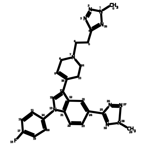 Cn1nnc(CCN2CC=C(c3cn(-c4ccc(F)cc4)c4ccc(-c5nnn(C)n5)cc34)CC2)n1